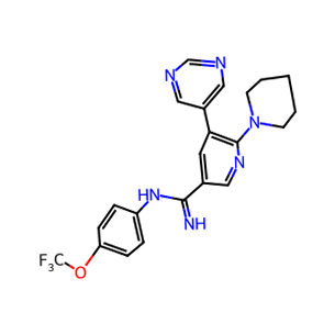 N=C(Nc1ccc(OC(F)(F)F)cc1)c1cnc(N2CCCCC2)c(-c2cncnc2)c1